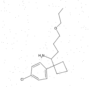 CCCOCCCC(N)C1(c2ccc(Cl)cc2)CCC1